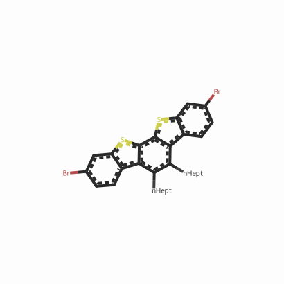 CCCCCCCc1c(CCCCCCC)c2c3ccc(Br)cc3sc2c2sc3cc(Br)ccc3c12